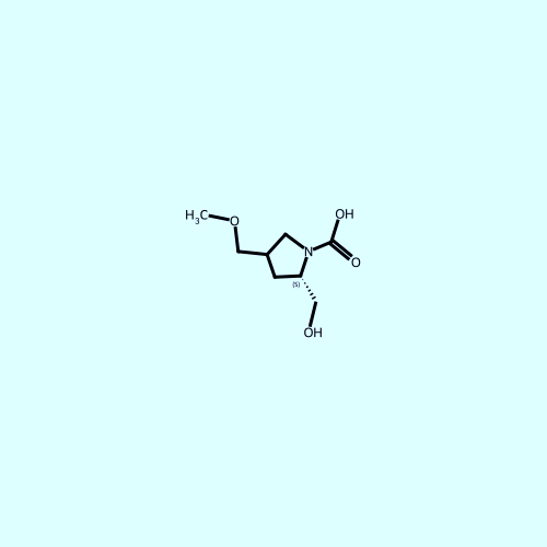 COCC1C[C@@H](CO)N(C(=O)O)C1